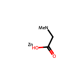 CNCC(=O)O.[Zn]